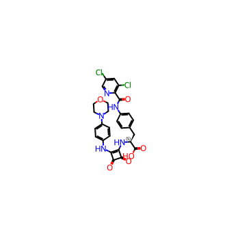 O=C(Nc1ccc(C[C@H](Nc2c(Nc3ccc(N4CCOCC4)cc3)c(=O)c2=O)C(=O)O)cc1)c1ncc(Cl)cc1Cl